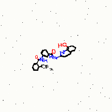 O=C(Nc1ccc2cccc(O)c2n1)c1cccc(NC(=O)c2ccccc2C(F)(F)F)c1